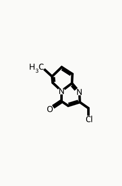 Cc1ccc2nc(CCl)cc(=O)n2c1